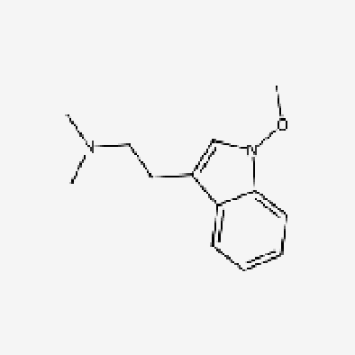 COn1cc(CCN(C)C)c2ccccc21